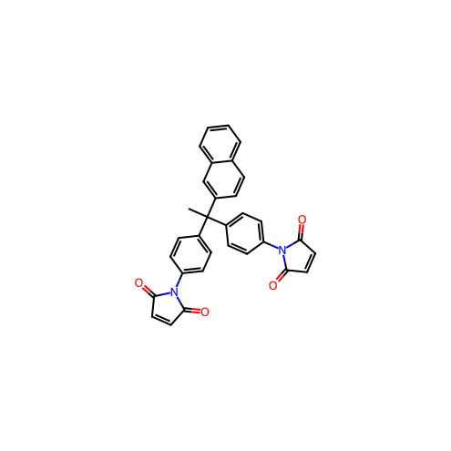 CC(c1ccc(N2C(=O)C=CC2=O)cc1)(c1ccc(N2C(=O)C=CC2=O)cc1)c1ccc2ccccc2c1